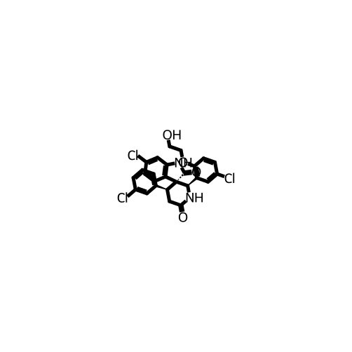 O=C1C[C@@H](c2cccc(Cl)c2)[C@]2(C(=O)Nc3cc(Cl)ccc32)[C@@H](c2cc(Cl)ccc2OCCO)N1